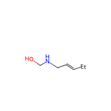 CCC=CCNCO